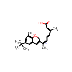 CC(C=C/C=C(/C)C1=Cc2cc(C(C)(C)C)cc(C)c2OC1)=CC(=O)O